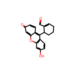 O=CC1=CCCCC1c1c2ccc(=O)cc-2oc2cc(O)ccc12